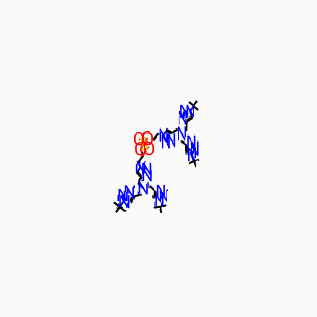 CC(C)(C)n1cc(CN(Cc2cn(CCOS(=O)(=O)OCCn3cc(CN(Cc4cn(C(C)(C)C)nn4)Cc4cn(C(C)(C)C)nn4)nn3)nn2)Cc2cn(C(C)(C)C)nn2)nn1